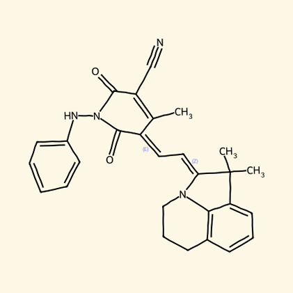 CC1=C(C#N)C(=O)N(Nc2ccccc2)C(=O)/C1=C/C=C1\N2CCCc3cccc(c32)C1(C)C